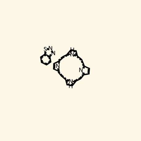 C1=Cc2cc3ccc(cc4nc(cc5ccc(cc1n2)[nH]5)C=C4)[nH]3.c1ccc2snnc2c1